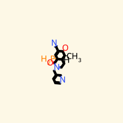 C[C@H]1C(=O)C(C#N)=C[C@@]2(P)C(=O)N(Cc3cccnc3)CC[C@H]12